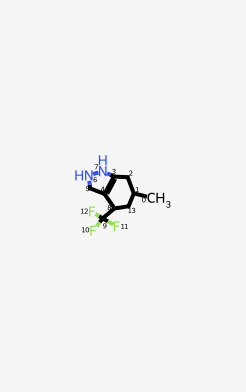 CC1CC2=C(CNN2)C(C(F)(F)F)C1